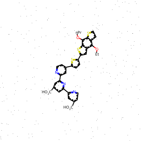 CCCOc1c2sccc2c(OCC)c2cc(-c3ccc(-c4ccnc(-c5cc(C(=O)O)cc(-c6cc(C(=O)O)ccn6)n5)c4)s3)sc12